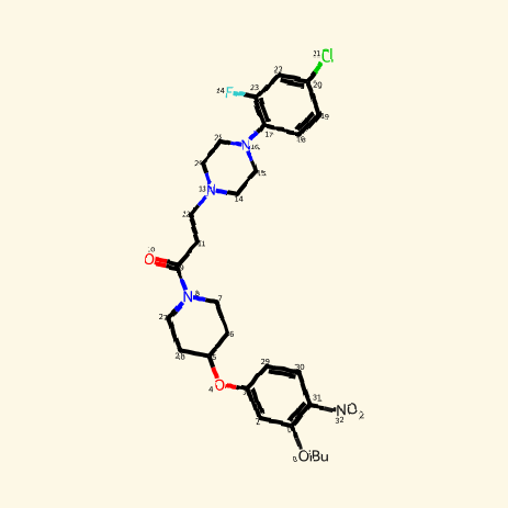 CC(C)COc1cc(OC2CCN(C(=O)CCN3CCN(c4ccc(Cl)cc4F)CC3)CC2)ccc1[N+](=O)[O-]